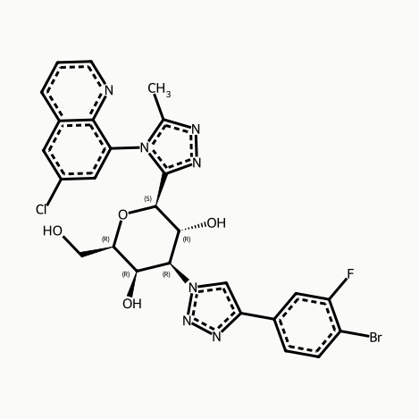 Cc1nnc([C@@H]2O[C@H](CO)[C@H](O)[C@H](n3cc(-c4ccc(Br)c(F)c4)nn3)[C@H]2O)n1-c1cc(Cl)cc2cccnc12